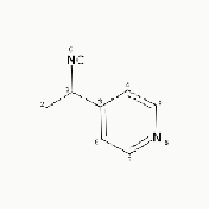 [C-]#[N+]C(C)c1ccncc1